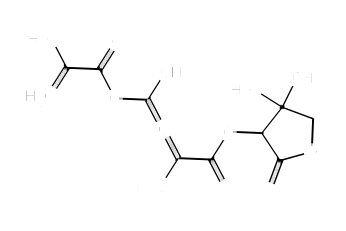 C=C(C)C(=O)OC(C)=C=C(C)C(=O)OC1C(=O)OCC1(C)C